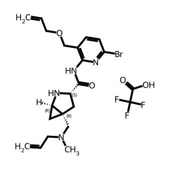 C=CCOCc1ccc(Br)nc1NC(=O)[C@@H]1C[C@@]2(CN(C)CC=C)C[C@H]2N1.O=C(O)C(F)(F)F